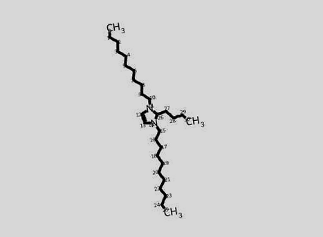 CCCCCCCCCCCN1C=CN(CCCCCCCCCCC)C1CCCC